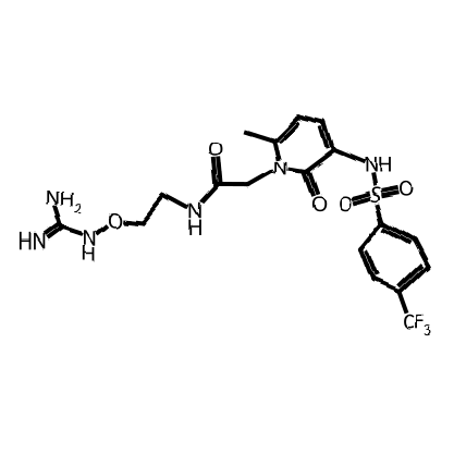 Cc1ccc(NS(=O)(=O)c2ccc(C(F)(F)F)cc2)c(=O)n1CC(=O)NCCONC(=N)N